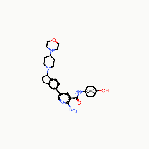 Nc1ncc(-c2ccc3c(c2)CCC3N2CCC(N3CCOCC3)CC2)cc1C(=O)NC12CCC(O)(CC1)CC2